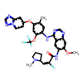 COc1cc2ncnc(Nc3cc(C)c(Oc4ccn5ncnc5c4)cc3OC(F)(F)F)c2cc1NC(=O)/C(F)=C\C1CCCN1C